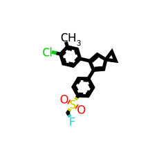 Cc1cc(C2=CC3(C=C2c2ccc(S(=O)(=O)CF)cc2)CC3)ccc1Cl